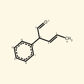 CC=CC(C=O)c1ccccc1